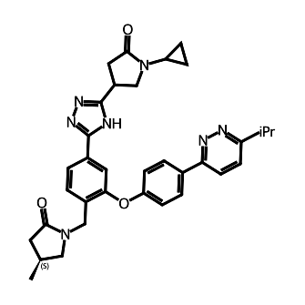 CC(C)c1ccc(-c2ccc(Oc3cc(-c4nnc(C5CC(=O)N(C6CC6)C5)[nH]4)ccc3CN3C[C@@H](C)CC3=O)cc2)nn1